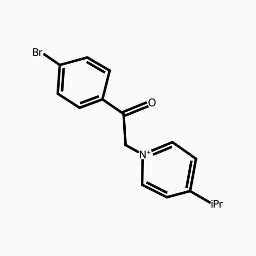 CC(C)c1cc[n+](CC(=O)c2ccc(Br)cc2)cc1